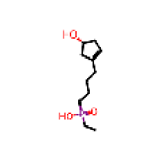 CCP(=O)(O)CCCCC1=CC[C@H](O)C1